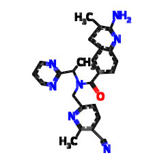 Cc1cc2cc(C(=O)N(Cc3ccc(C#N)c(C)n3)C(C)c3ncccn3)ccc2nc1N